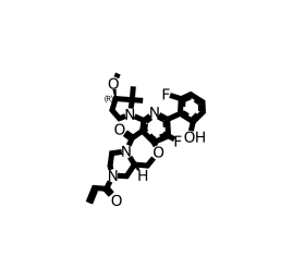 C=CC(=O)N1CCN2C(=O)c3c(N4CC[C@@H](OC)C4(C)C)nc(-c4c(O)cccc4F)c(F)c3OC[C@H]2C1